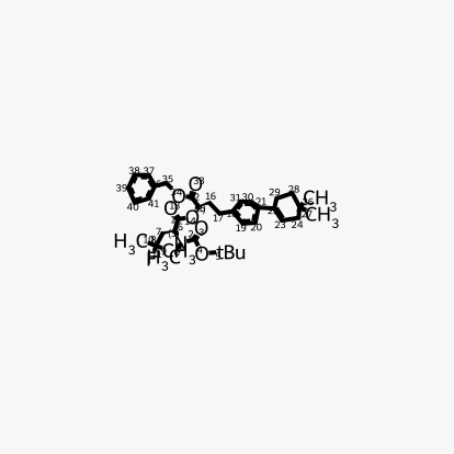 CN(C(=O)OC(C)(C)C)[C@@H](CC(C)(C)F)C(=O)O[C@H](CCc1ccc(C2=CCC(C)(C)CC2)cc1)C(=O)OCc1ccccc1